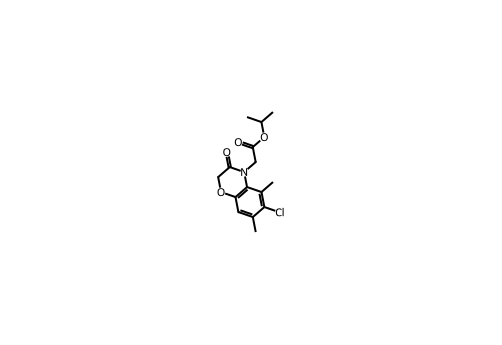 Cc1cc2c(c(C)c1Cl)N(CC(=O)OC(C)C)C(=O)CO2